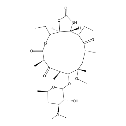 CCC1C(=O)[C@H](C)C[C@](C)(OC)[C@H](OC2O[C@H](C)C[C@H](N(C)C)[C@H]2O)[C@@H](C)C(=O)[C@@H](C)C(=O)OC(CC)[C@@]2(C)OC(=O)N[C@H]12